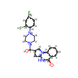 O=C(c1cc2[nH]c(=O)c3ccccc3n2c1)N1CCN(c2ccc(F)cc2F)CC1